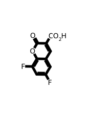 O=C(O)c1cc2cc(F)cc(F)c2oc1=O